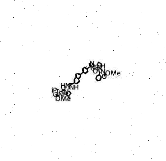 C=C1C[C@@H](C2NC=C(c3ccc4cc(-c5ccc(-c6cnc([C@@H]7CCCN7C(=O)[C@H](NC(=O)OC)c7ccccc7)[nH]6)cc5)ccc4c3)N2)N(C(=O)[C@@H](NC(=O)OC)C(C)C)C1